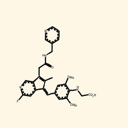 COc1cc(C=C2C(C)=C(CC(=O)NCc3cccnc3)c3cnc(F)cc32)cc(OC)c1NCC(=O)O